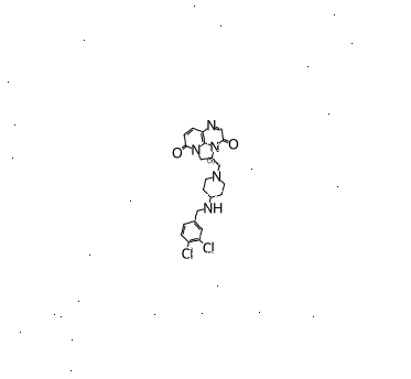 O=c1ccc2ncc(=O)n3c2n1C[C@@H]3CN1CCC(NCc2ccc(Cl)c(Cl)c2)CC1